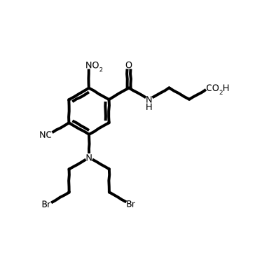 N#Cc1cc([N+](=O)[O-])c(C(=O)NCCC(=O)O)cc1N(CCBr)CCBr